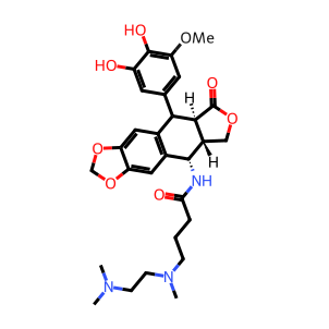 COc1cc(C2c3cc4c(cc3[C@@H](NC(=O)CCCN(C)CCN(C)C)[C@H]3COC(=O)[C@H]23)OCO4)cc(O)c1O